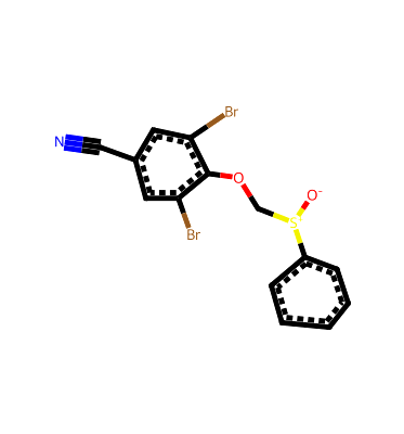 N#Cc1cc(Br)c(OC[S+]([O-])c2ccccc2)c(Br)c1